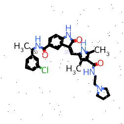 Cc1[nH]c(/C=C2\C(=O)Nc3ccc(C(=O)N[C@@H](C)c4cccc(Cl)c4)cc32)c(C)c1C(=O)NCCN1CCCC1